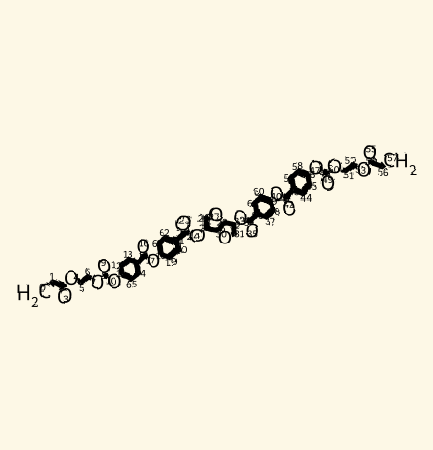 C=CC(=O)OCCOC(=O)Oc1ccc(C(=O)Oc2ccc(C(=O)O[C@@H]3COC4C3OC[C@H]4OC(=O)c3ccc(OC(=O)c4ccc(OC(=O)OCCOC(=O)C=C)cc4)cc3)cc2)cc1